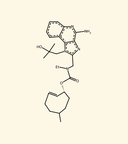 CCN(Cc1nc2c(N)nc3ccccc3c2n1CC(C)(C)O)C(=O)O[C@H]1/C=C/CCC(C)CC1